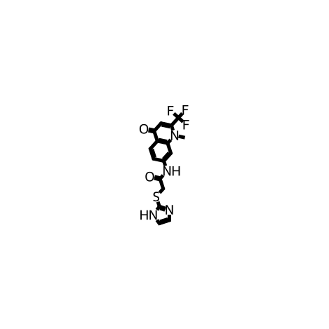 Cn1c(C(F)(F)F)cc(=O)c2ccc(NC(=O)CSc3ncc[nH]3)cc21